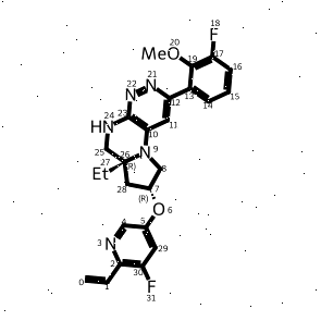 C=Cc1ncc(O[C@H]2CN3c4cc(-c5cccc(F)c5OC)nnc4NC[C@@]3(CC)C2)cc1F